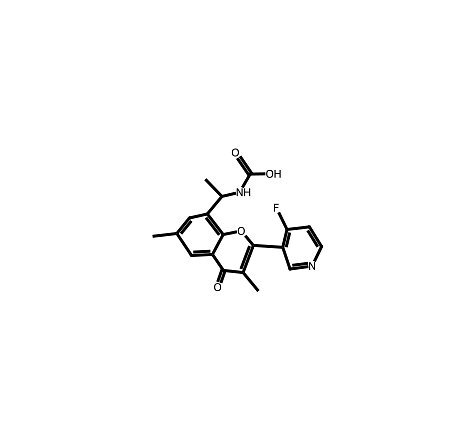 Cc1cc(C(C)NC(=O)O)c2oc(-c3cnccc3F)c(C)c(=O)c2c1